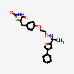 CC(=NOCCOc1ccc(CC2SC(=O)NC2=O)cc1)c1cc(-c2ccccc2)cs1